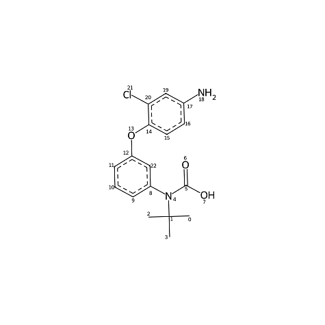 CC(C)(C)N(C(=O)O)c1cccc(Oc2ccc(N)cc2Cl)c1